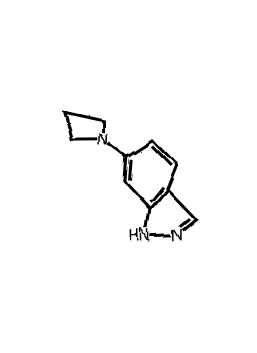 c1cc2cn[nH]c2cc1N1CCC1